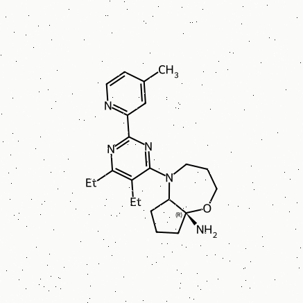 CCc1nc(-c2cc(C)ccn2)nc(N2CCCO[C@]3(N)CCCC23)c1CC